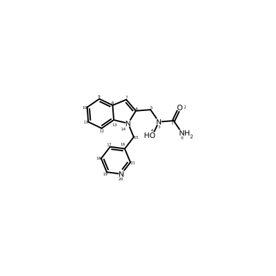 NC(=O)N(O)Cc1cc2ccccc2n1Cc1cccnc1